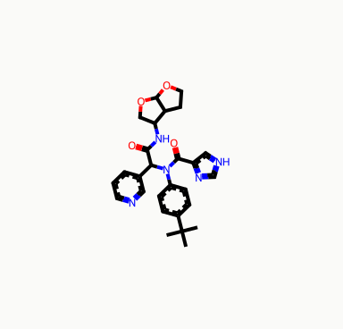 CC(C)(C)c1ccc(N(C(=O)c2c[nH]cn2)C(C(=O)NC2COC3OCCC23)c2cccnc2)cc1